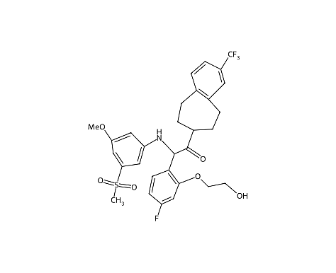 COc1cc(NC(C(=O)C2CCc3ccc(C(F)(F)F)cc3CC2)c2ccc(F)cc2OCCO)cc(S(C)(=O)=O)c1